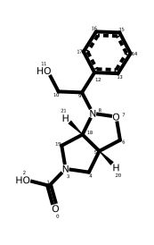 O=C(O)N1C[C@H]2CON(C(CO)c3ccccc3)[C@H]2C1